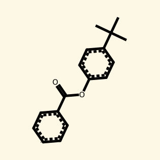 CC(C)(C)c1ccc(OC(=O)c2cc[c]cc2)cc1